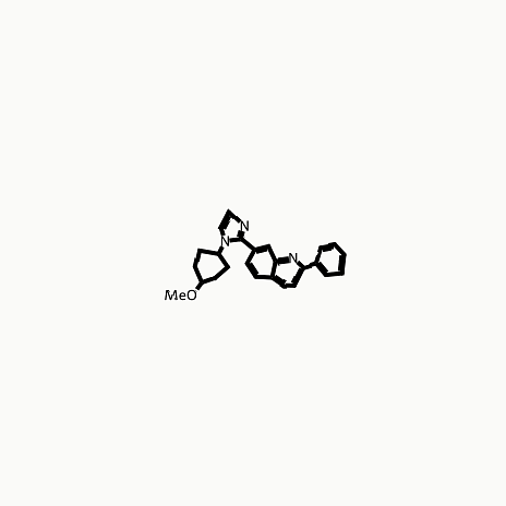 COC1CCC(n2ccnc2-c2ccc3ccc(-c4ccccc4)nc3c2)CC1